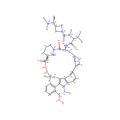 CCn1c(-c2cccnc2[C@H](C)OC)c2c3cc(ccc31)-c1csc(n1)C[C@H](NC(=O)C(C(C)C)N(C)C(=O)N1CC([C@H](C)N(C)C)C1)C(=O)N1CCC[C@H](N1)C(=O)OCC(C)(C)C2